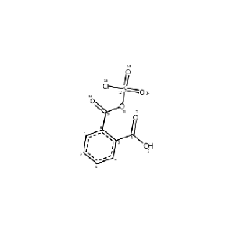 O=C(O)c1ccccc1C(=O)OS(=O)(=O)Cl